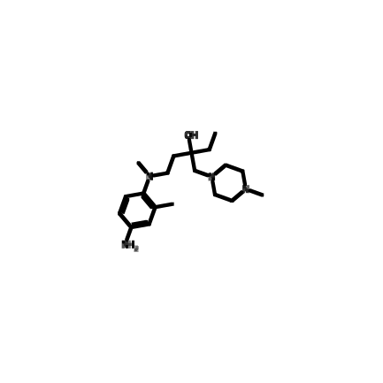 CCC(O)(CCN(C)c1ccc(N)cc1C)CN1CCN(C)CC1